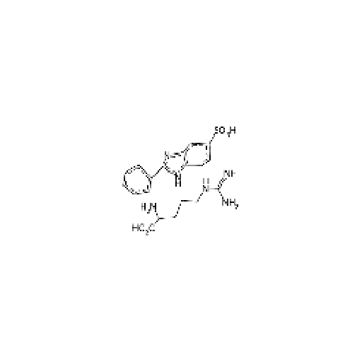 N=C(N)NCCCC(N)C(=O)O.O=S(=O)(O)c1ccc2[nH]c(-c3ccccc3)nc2c1